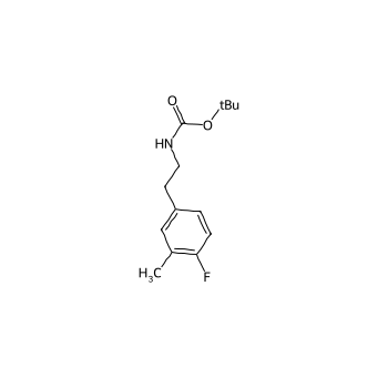 Cc1cc(CCNC(=O)OC(C)(C)C)ccc1F